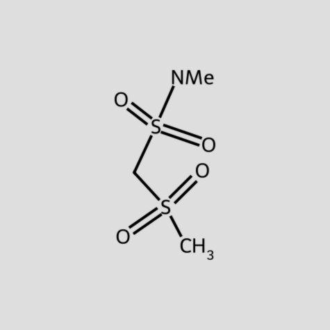 CNS(=O)(=O)CS(C)(=O)=O